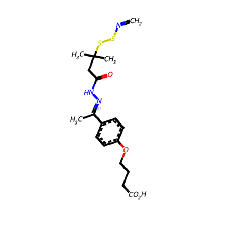 C=NSSC(C)(C)CC(=O)N/N=C(\C)c1ccc(OCCCC(=O)O)cc1